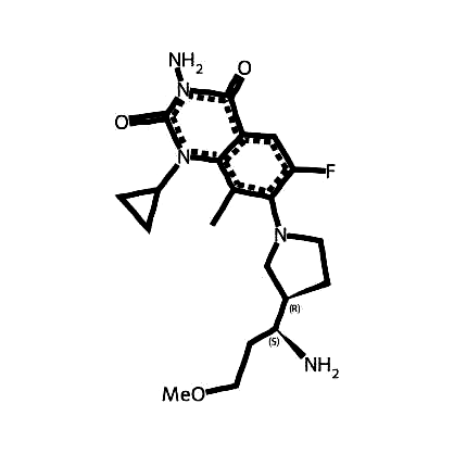 COCC[C@H](N)[C@@H]1CCN(c2c(F)cc3c(=O)n(N)c(=O)n(C4CC4)c3c2C)C1